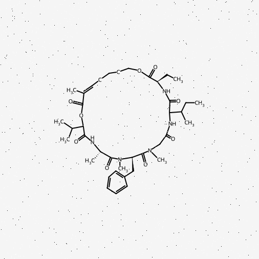 CCC(C)C1NC(=O)CN(C)C(=O)[C@@H](Cc2ccccc2)N(C)C(=O)[C@H](C)NC(=O)C(C(C)C)OC(=O)/C(C)=C/CCCCOC(=O)[C@@H](CC)NC1=O